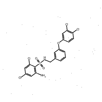 Nc1cc(Cl)cc(Cl)c1S(=O)(=O)NCc1cccc(Oc2ccc(Cl)c(Cl)c2)c1